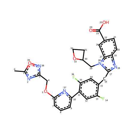 Cc1nc(COc2cccc(-c3cc(F)c(Cc4nc5ccc(C(=O)O)cc5n4CC4CCO4)cc3F)n2)no1